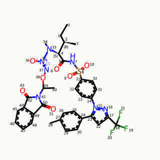 CC[C@@H](C)[C@@H](C(=O)NS(=O)(=O)c1ccc(-n2nc(C(F)(F)F)cc2-c2ccc(C)cc2)cc1)N(C)/[N+]([O-])=N/OC(C)N1C(=O)c2ccccc2C1=O